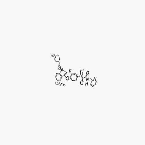 COc1ccc2c(c1)C(Oc1ccc(NC(=O)C(=O)NCc3ccccn3)cc1F)=CCN2OCC1CCNCC1